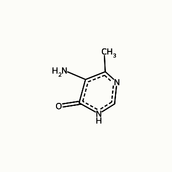 Cc1nc[nH]c(=O)c1N